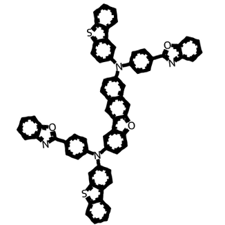 c1ccc2oc(-c3ccc(N(c4ccc5c(c4)sc4ccccc45)c4ccc5oc6cc7cc(N(c8ccc(-c9nc%10ccccc%10o9)cc8)c8ccc9sc%10ccccc%10c9c8)ccc7cc6c5c4)cc3)nc2c1